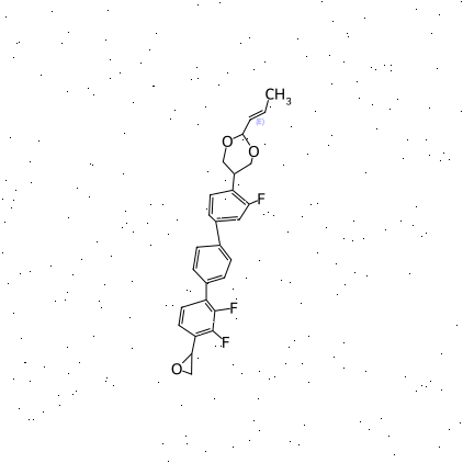 C/C=C/C1OCC(c2ccc(-c3ccc(-c4ccc(C5CO5)c(F)c4F)cc3)cc2F)CO1